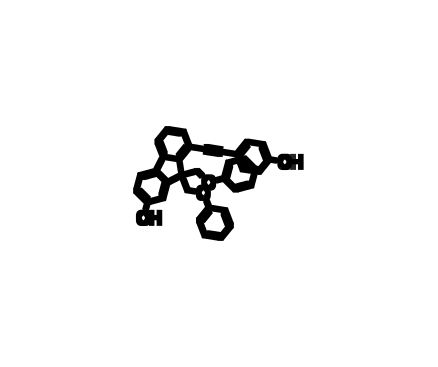 Oc1ccc(C#Cc2cccc3c2C(COc2ccccc2)(COc2ccccc2)c2cc(O)ccc2-3)cc1